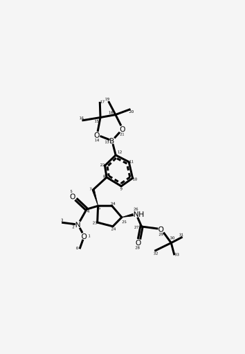 CON(C)C(=O)[C@@]1(Cc2cccc(B3OC(C)(C)C(C)(C)O3)c2)CC[C@H](NC(=O)OC(C)(C)C)C1